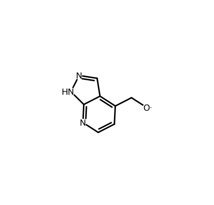 [O]Cc1ccnc2[nH]ncc12